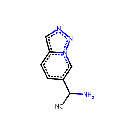 N#CC(N)c1ccc2cnnn2c1